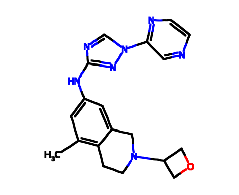 Cc1cc(Nc2ncn(-c3cnccn3)n2)cc2c1CCN(C1COC1)C2